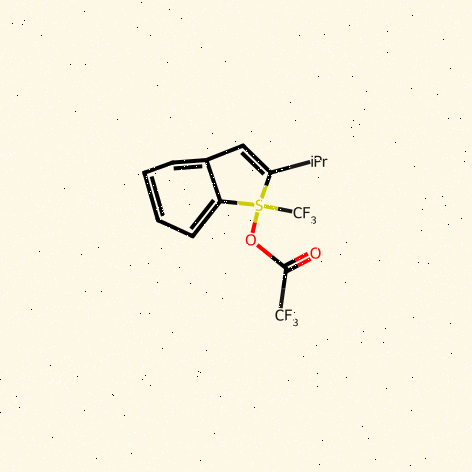 CC(C)C1=Cc2ccccc2S1(OC(=O)C(F)(F)F)C(F)(F)F